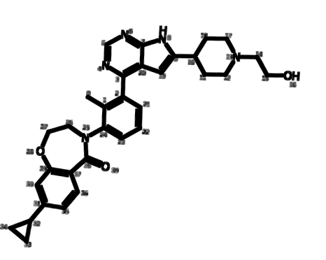 Cc1c(-c2ncnc3[nH]c(C4CCN(CCO)CC4)cc23)cccc1N1CCOc2cc(C3CC3)ccc2C1=O